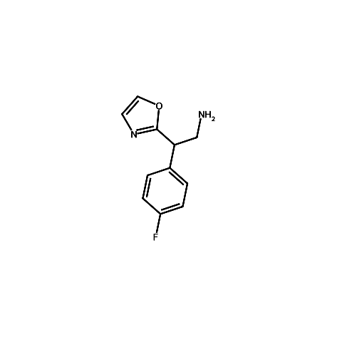 NCC(c1ccc(F)cc1)c1ncco1